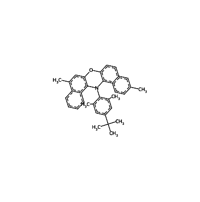 Cc1ccc2c3c(ccc2c1)Oc1cc(C)c2ccccc2c1N3c1c(C)cc(C(C)(C)C)cc1C